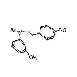 CC(=O)N(CCc1ccc(N=O)cc1)c1cccc(O)c1